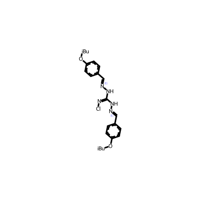 CCC(C)Oc1ccc(/C=N/NC(=NCl)N/N=C/c2ccc(OC(C)CC)cc2)cc1